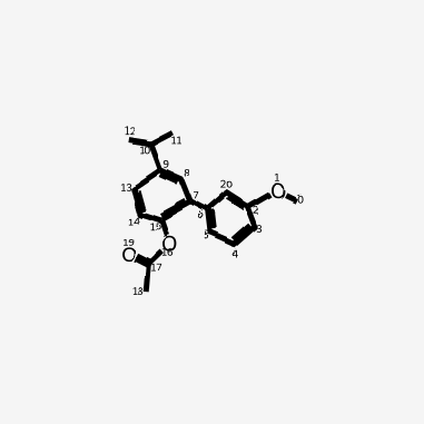 COc1cccc(-c2cc(C(C)C)ccc2OC(C)=O)c1